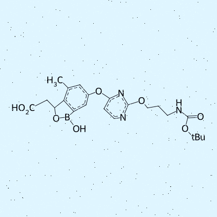 Cc1cc(Oc2ccnc(OCCCNC(=O)OC(C)(C)C)n2)cc2c1C(CC(=O)O)OB2O